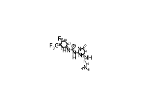 Cc1cc(NCCN(C)C)nc(NC(=O)Nc2ccc(F)c(C(F)(F)F)c2)n1